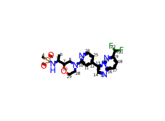 CC(NS(C)(=O)=O)C1CN(c2cc(-c3cnc4ccc(C(F)F)nn34)ccn2)CCO1